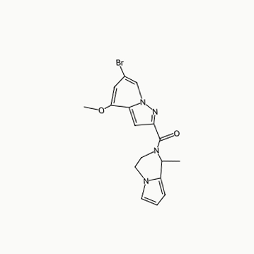 COc1cc(Br)cn2nc(C(=O)N3CCn4cccc4C3C)cc12